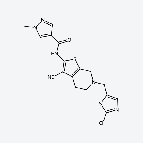 Cn1cc(C(=O)Nc2sc3c(c2C#N)CCN(Cc2cnc(Cl)s2)C3)cn1